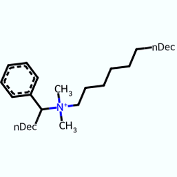 CCCCCCCCCCCCCCCC[N+](C)(C)C(CCCCCCCCCC)c1ccccc1